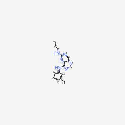 C=CCNc1ncc2ncnc(Nc3cccc(C)c3)c2n1